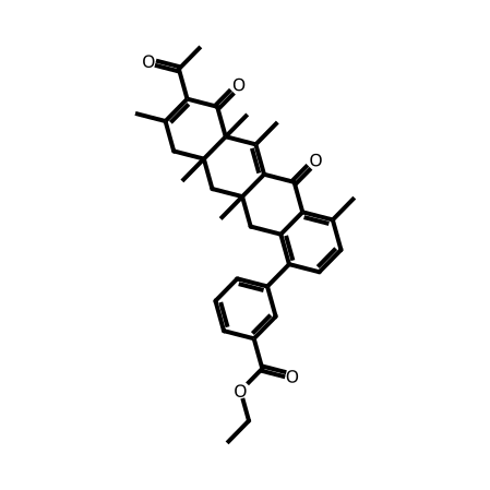 CCOC(=O)c1cccc(-c2ccc(C)c3c2CC2(C)CC4(C)CC(C)=C(C(C)=O)C(=O)C4(C)C(C)=C2C3=O)c1